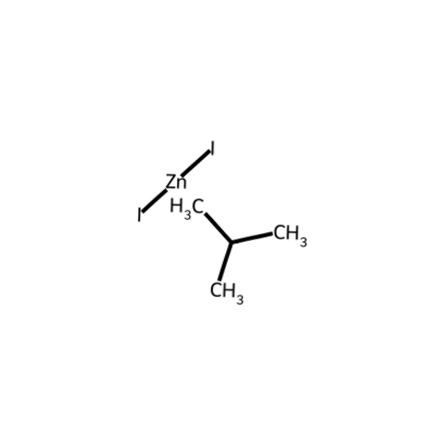 C[C](C)C.[I][Zn][I]